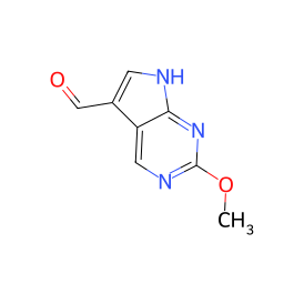 COc1ncc2c(C=O)c[nH]c2n1